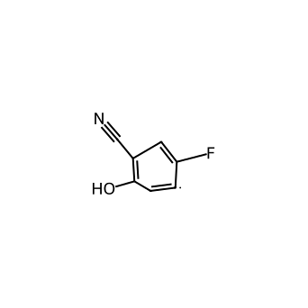 N#Cc1cc(F)[c]cc1O